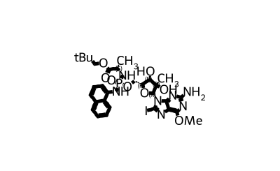 COc1nc(N)nc2c1nc(I)n2[C@@H]1O[C@H](COP(=O)(Nc2cccc3ccccc23)N[C@@H](C)C(=O)OCC(C)(C)C)[C@@H](O)[C@@]1(C)O